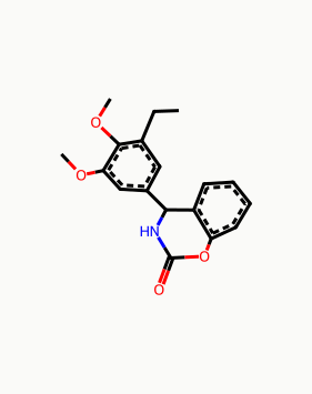 CCc1cc(C2NC(=O)Oc3ccccc32)cc(OC)c1OC